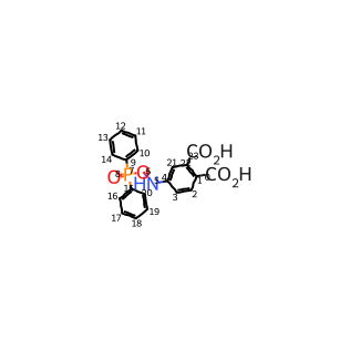 O=C(O)c1ccc(NOP(=O)(c2ccccc2)c2ccccc2)cc1C(=O)O